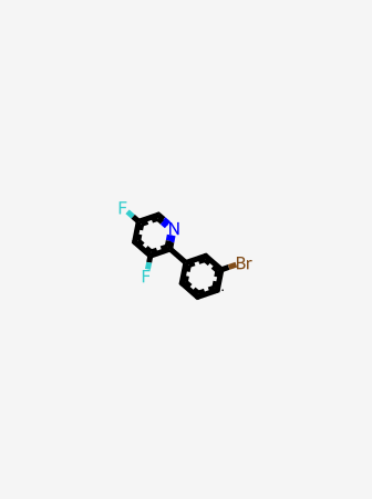 Fc1cnc(-c2cc[c]c(Br)c2)c(F)c1